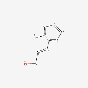 Clc1ccccc1C=CCBr